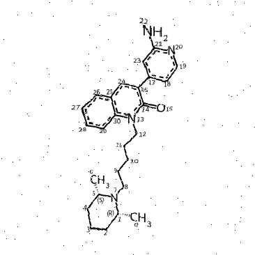 C[C@@H]1CCC[C@H](C)N1CCCCCn1c(=O)c(-c2ccnc(N)c2)cc2ccccc21